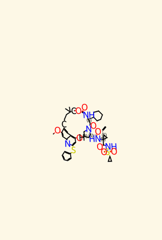 C=C[C@@H]1C[C@]1(NC(=O)[C@@H]1C[C@@H]2CN1C(=O)[C@H](C1CCCCC1)NC(=O)OCC(C)(C)CCCc1cc3c(cc(Sc4ccccc4)nc3cc1OC)O2)C(=O)NS(=O)(=O)C1CC1